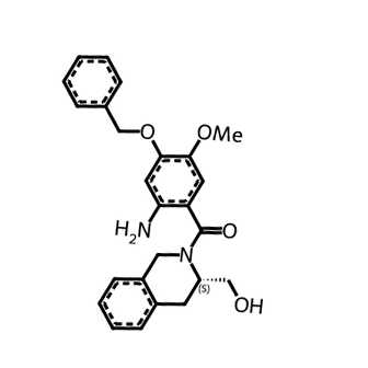 COc1cc(C(=O)N2Cc3ccccc3C[C@H]2CO)c(N)cc1OCc1ccccc1